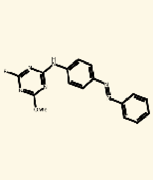 COc1nc(F)nc(Nc2ccc(N=Nc3ccccc3)cc2)n1